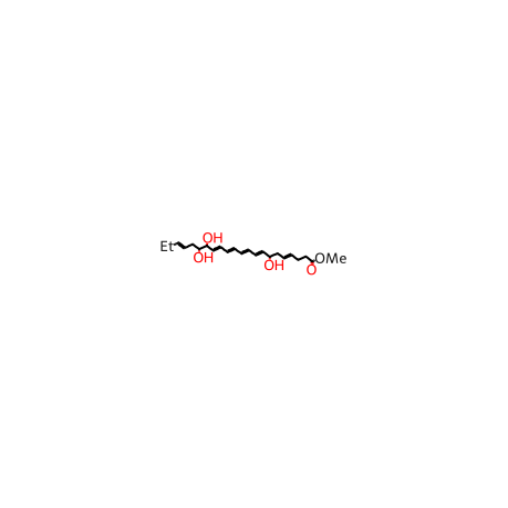 CCC=CCC(O)C(O)C=CC=CC=CC=CC(O)CC=CCCC(=O)OC